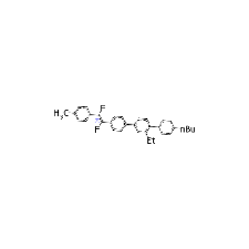 CCCCc1ccc(-c2ccc(-c3ccc(/C(F)=C(\F)c4ccc(C)cc4)cc3)cc2CC)cc1